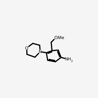 COCc1cc(N)ccc1N1CCOCC1